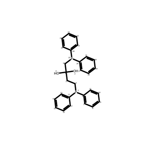 OC(O)(CCP(c1ccccc1)c1ccccc1)CP(c1ccccc1)c1ccccc1